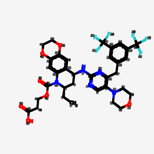 CC[C@@H]1C[C@H](Nc2ncc(N3CCOCC3)c(Cc3cc(C(F)(F)F)cc(C(F)(F)F)c3)n2)c2cc3c(cc2N1C(=O)OCCC(=O)O)OCCO3